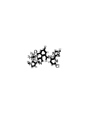 [2H]C([2H])([2H])n1c(=O)c2cc(C)cc(C(C)Nc3ccc(Cl)nc3-c3ncn(C)n3)c2c2cnn([C@H]3CCN(C)C3)c21